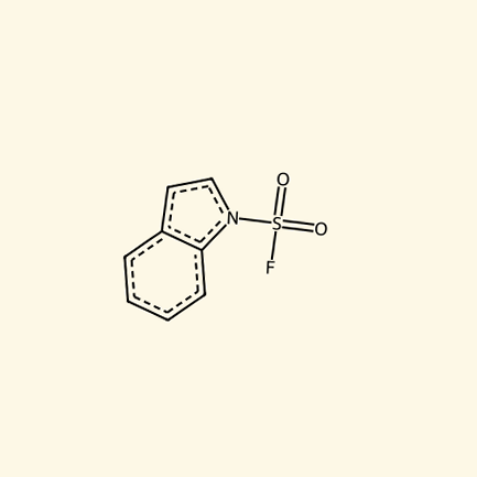 O=S(=O)(F)n1ccc2ccccc21